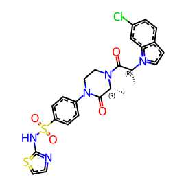 C[C@@H]1C(=O)N(c2ccc(S(=O)(=O)Nc3nccs3)cc2)CCN1C(=O)[C@@H](C)n1ccc2ccc(Cl)cc21